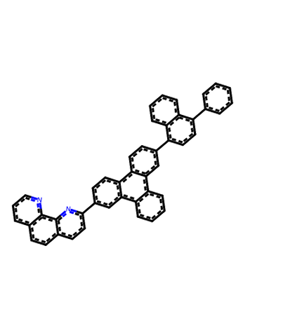 c1ccc(-c2ccc(-c3ccc4c5ccc(-c6ccc7ccc8cccnc8c7n6)cc5c5ccccc5c4c3)c3ccccc23)cc1